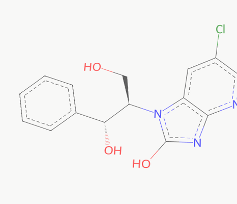 OC[C@H]([C@H](O)c1ccccc1)n1c(O)nc2ncc(Cl)cc21